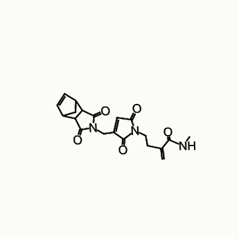 C=C(CCN1C(=O)C=C(CN2C(=O)C3C4C=CC(C4)C3C2=O)C1=O)C(=O)NC